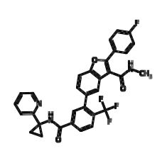 CNC(=O)c1c(-c2ccc(F)cc2)oc2ccc(-c3cc(C(=O)NC4(c5ccccn5)CC4)ccc3C(F)(F)F)cc12